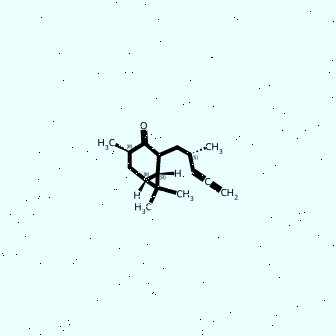 C=C=C[C@@H](C)CC1C(=O)[C@H](C)C[C@@H]2[C@H]1C2(C)C